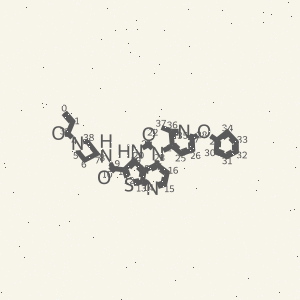 C=CC(=O)N1CC[C@@H](NC(=O)c2sc3nccc4c3c2NC(=O)N4c2ccc(Oc3ccccc3)nc2C)C1